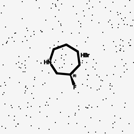 Br.F[C@@H]1CCCCNC1